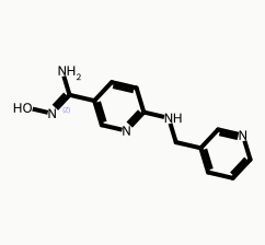 N/C(=N\O)c1ccc(NCc2cccnc2)nc1